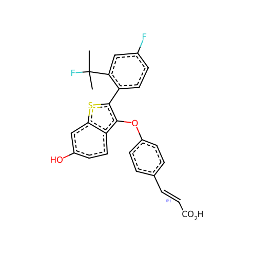 CC(C)(F)c1cc(F)ccc1-c1sc2cc(O)ccc2c1Oc1ccc(/C=C/C(=O)O)cc1